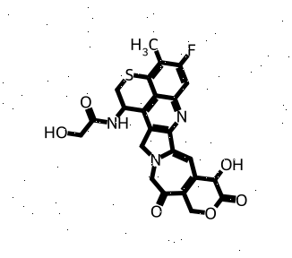 Cc1c(F)cc2nc3c(c4c2c1SCC4NC(=O)CO)CN1CC(=O)C2=C(C=C31)C(O)C(=O)OC2